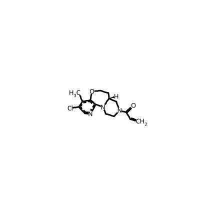 C=CC(=O)N1CCN2c3ncc(Cl)c(C)c3OCC[C@@H]2C1